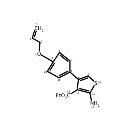 C=CCOc1ccc(-c2csc(N)c2C(=O)OCC)cc1